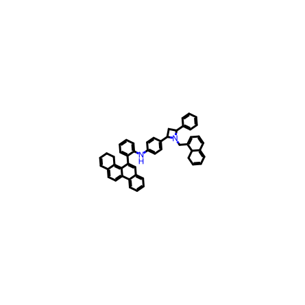 C1=CCC2C(=C1)C=CC=C2CN1C(c2ccccc2)CC1c1ccc(Nc2ccccc2-c2cc3ccccc3c3ccc4c(c23)CCC=C4)cc1